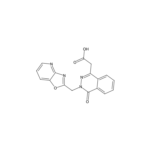 O=C(O)Cc1nn(Cc2nc3ncccc3o2)c(=O)c2ccccc12